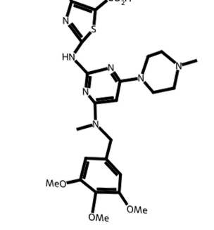 COc1cc(CN(C)c2cc(N3CCN(C)CC3)nc(Nc3nc(C)c(C(=O)O)s3)n2)cc(OC)c1OC